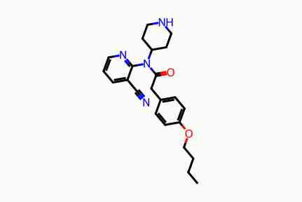 CCCCOc1ccc(CC(=O)N(c2ncccc2C#N)C2CCNCC2)cc1